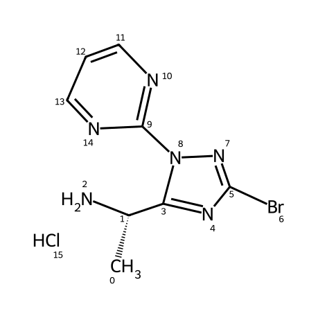 C[C@H](N)c1nc(Br)nn1-c1ncccn1.Cl